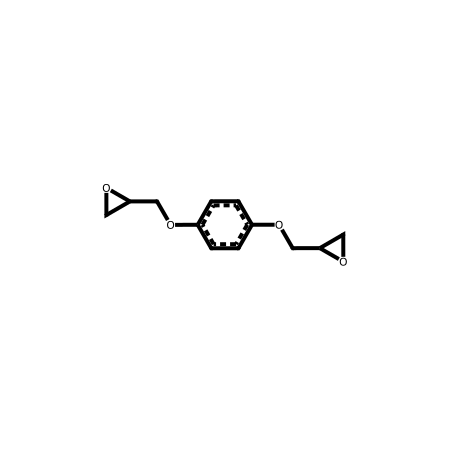 c1cc(OCC2CO2)ccc1OCC1CO1